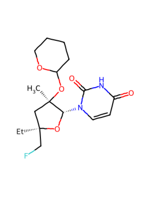 CC[C@]1(CF)C[C@@](C)(OC2CCCCO2)[C@H](n2ccc(=O)[nH]c2=O)O1